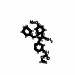 CCCCOC(=O)Nc1cccc(-c2c(N)c3ccc(OC)cc3n2Cc2ccccc2)c1